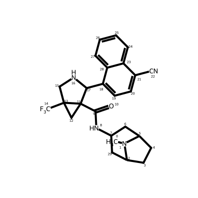 CN1C2CCC1CC(NC(=O)C13CC1(C(F)(F)F)CNC3c1ccc(C#N)c3ccccc13)C2